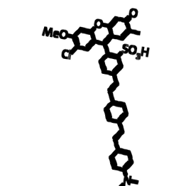 COc1cc2oc3cc(=O)c(C)cc-3c(-c3ccc(/C=C/c4ccc(/C=C/c5ccc(N(C)C)cc5)cc4)cc3S(=O)(=O)O)c2cc1Cl